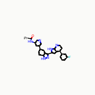 CC(C)C(=O)Nc1cncc(-c2ccc3[nH]nc(-c4cc5c(-c6cccc(F)c6)ccnc5[nH]4)c3c2)c1